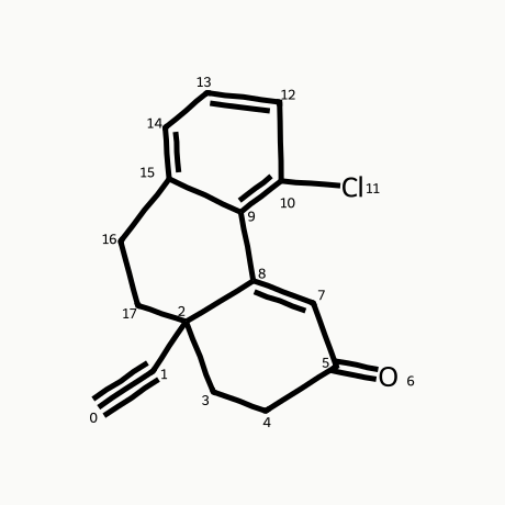 C#CC12CCC(=O)C=C1c1c(Cl)cccc1CC2